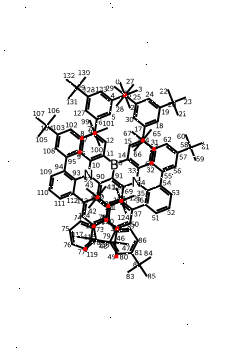 CC(C)(C)c1cc(-c2ccc3c(c2)B2c4cc(-c5cc(C(C)(C)C)cc(C(C)(C)C)c5)ccc4N(c4c(-c5cc(C(C)(C)C)cc(C(C)(C)C)c5)cccc4-c4cc(C(C)(C)C)cc(C(C)(C)C)c4)c4cc(-n5c6ccccc6c6cc(C(C)(C)C)ccc65)cc(c42)N3c2c(-c3cc(C(C)(C)C)cc(C(C)(C)C)c3)cccc2-c2cc(C(C)(C)C)cc(C(C)(C)C)c2)cc(C(C)(C)C)c1